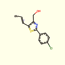 CC(C)(C)/C=C/c1sc(-c2ccc(Cl)cc2)nc1CO